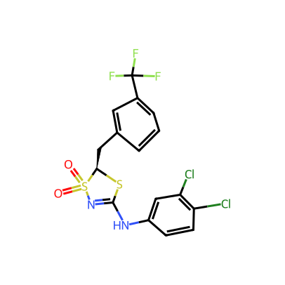 O=S1(=O)N=C(Nc2ccc(Cl)c(Cl)c2)S[C@@H]1Cc1cccc(C(F)(F)F)c1